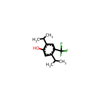 CC(C)c1cc(C(F)(F)F)c(C(C)C)cc1O